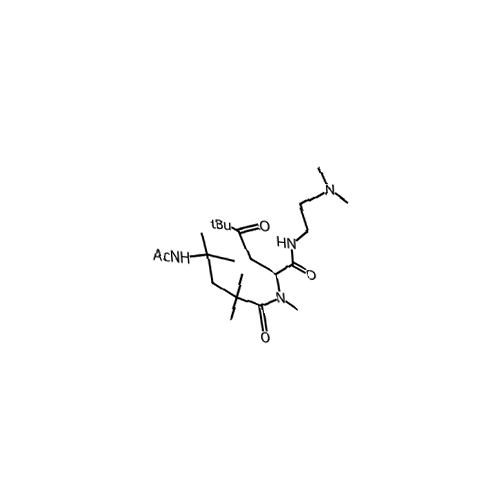 CC(=O)NC(C)(C)CC(C)(C)C(=O)N(C)C(CC(=O)C(C)(C)C)C(=O)NCCN(C)C